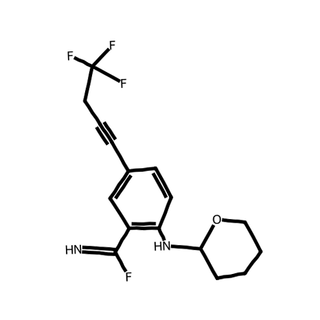 N=C(F)c1cc(C#CCC(F)(F)F)ccc1NC1CCCCO1